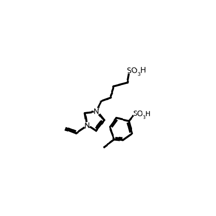 C=CN1C=CN(CCCCS(=O)(=O)O)C1.Cc1ccc(S(=O)(=O)O)cc1